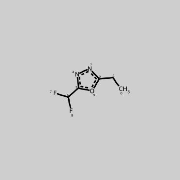 CCc1nnc(C(F)F)o1